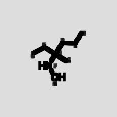 CCCC(C)(CC)NO